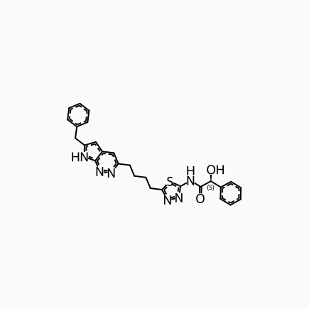 O=C(Nc1nnc(CCCCc2cc3cc(Cc4ccccc4)[nH]c3nn2)s1)[C@@H](O)c1ccccc1